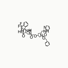 O=C(COC1CC(CNc2ccccn2)N(C(=O)OCc2ccccc2)C1)NCC(NC(=O)c1ccccc1C(F)(F)F)C(=O)O